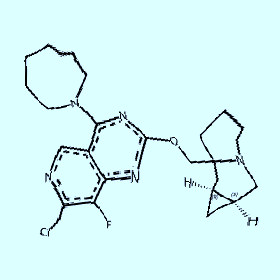 Fc1c(Cl)ncc2c(N3CCCCCC3)nc(OCC34CCCN3C[C@H]3C[C@H]34)nc12